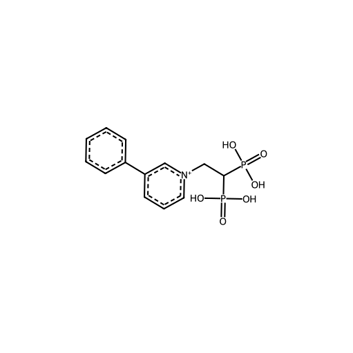 O=P(O)(O)C(C[n+]1cccc(-c2ccccc2)c1)P(=O)(O)O